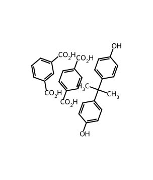 CC(C)(c1ccc(O)cc1)c1ccc(O)cc1.O=C(O)c1ccc(C(=O)O)cc1.O=C(O)c1cccc(C(=O)O)c1